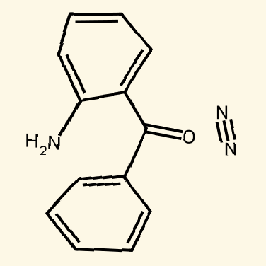 N#N.Nc1ccccc1C(=O)c1ccccc1